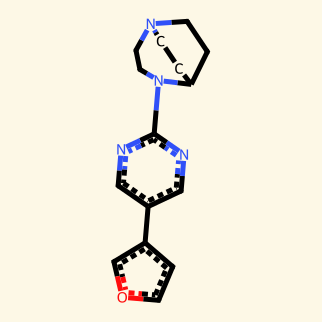 c1cc(-c2cnc(N3CCN4CCC3CC4)nc2)co1